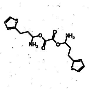 NC(CCc1cccs1)OC(=O)C(=O)OC(N)CCc1cccs1